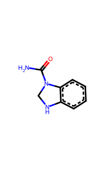 NC(=O)N1CNc2ccccc21